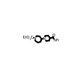 CCCC(=O)C1CCN(C2CCCN(C(=O)OCC)CC2)CC1